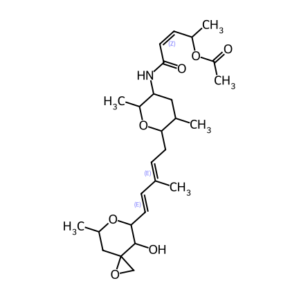 CC(=O)OC(C)/C=C\C(=O)NC1CC(C)C(C/C=C(C)/C=C/C2OC(C)CC3(CO3)C2O)OC1C